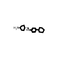 N[C@H]1CC[C@H](CNc2ccc(C3CCCCC3)cc2)CC1